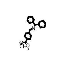 COC(=O)c1ccc(C=NC(c2ccccc2)c2ccccc2)cc1